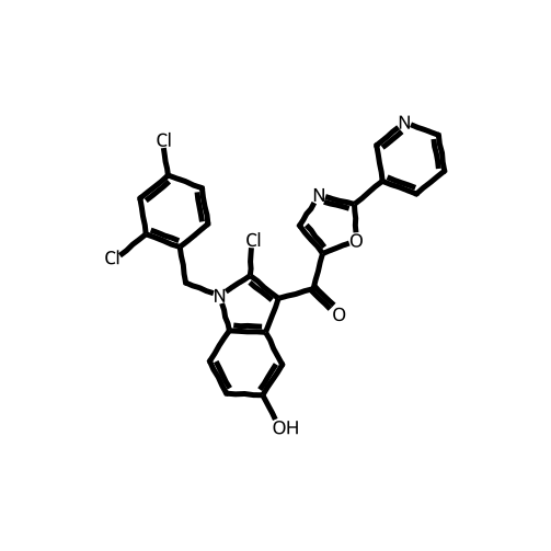 O=C(c1cnc(-c2cccnc2)o1)c1c(Cl)n(Cc2ccc(Cl)cc2Cl)c2ccc(O)cc12